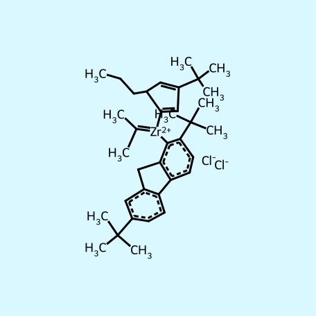 CCCC1C=C(C(C)(C)C)C=[C]1[Zr+2](=[C](C)C)[c]1c(C(C)(C)C)ccc2c1Cc1cc(C(C)(C)C)ccc1-2.[Cl-].[Cl-]